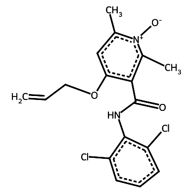 C=CCOc1cc(C)[n+]([O-])c(C)c1C(=O)Nc1c(Cl)cccc1Cl